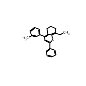 CCC1=C2SC(c3ccccc3)=CC(c3cccc(C)c3)=C2CCC1